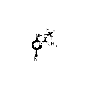 CC(OC(F)(F)F)n1cc(C#N)ccc1=N